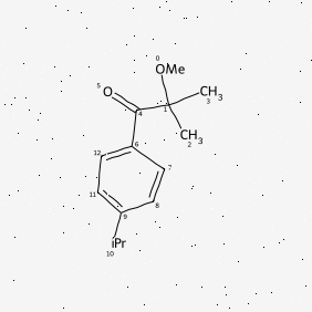 COC(C)(C)C(=O)c1ccc(C(C)C)cc1